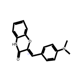 CN(C)c1ccc(/C=C2\Oc3ccccc3NC2=O)cc1